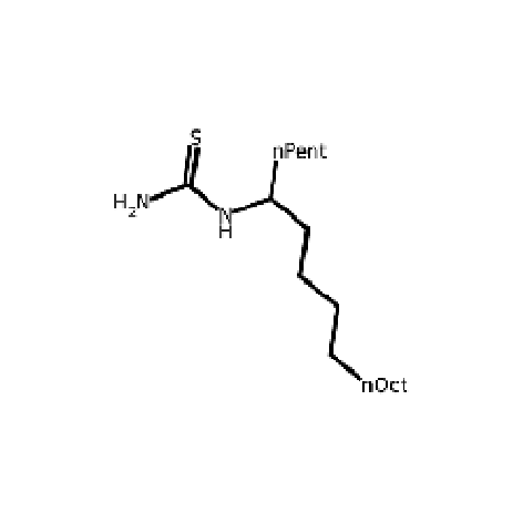 CCCCCCCCCCCCC(CCCCC)NC(N)=S